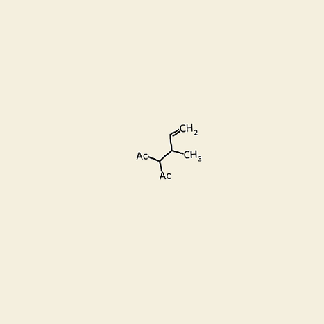 C=CC(C)C(C(C)=O)C(C)=O